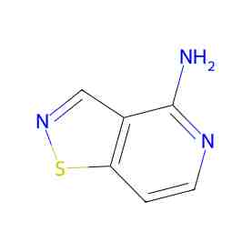 Nc1nccc2sncc12